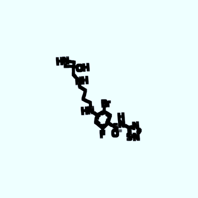 [O-][S+](Nc1ncns1)c1cc(Br)c(NCCCCNCC2(O)CNC2)cc1F